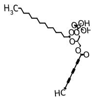 C#CC#CC#CC#CC(=O)OC[C@H](COP(=O)(O)O)OC(=O)CCCCCCCCCCCCC